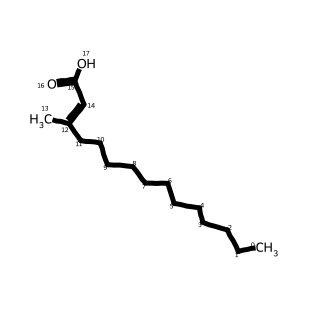 CCCCCCCCCCCCC(C)=CC(=O)O